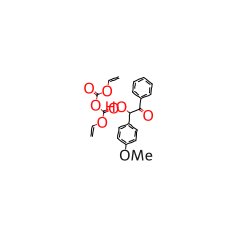 C=COC(=O)OC(=O)OC=C.COc1ccc(C(O)C(=O)c2ccccc2)cc1